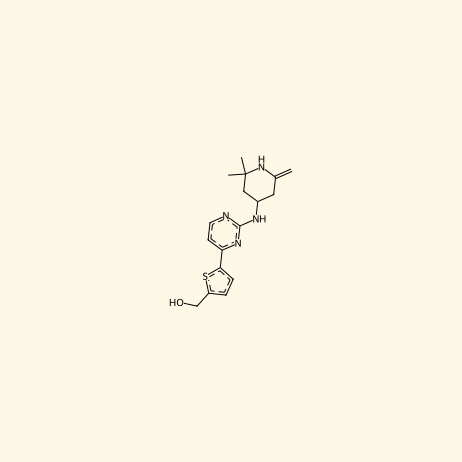 C=C1CC(Nc2nccc(-c3ccc(CO)s3)n2)CC(C)(C)N1